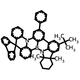 CC(C)(C)c1cc2c3c(c1)C1(C)CCCCC1(C)N3B1c3cccc4c3N(c3ccccc3C43c4ccccc4-c4ccccc43)c3cc(-c4ccccc4)cc-2c31